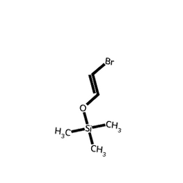 C[Si](C)(C)OC=CBr